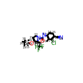 Cc1c(/N=C2\O[C@@H](C(F)(F)F)[C@H]3C(O[Si](C)(C)C(C)(C)C)=CCN23)ccc(C#N)c1Cl